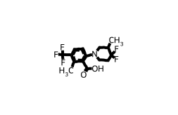 Cc1c(C(F)(F)F)ccc(N2CCC(F)(F)C(C)C2)c1C(=O)O